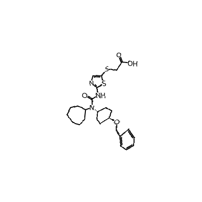 O=C(O)CSc1cnc(NC(=O)N(C2CCCCCC2)[C@H]2CC[C@H](OCc3ccccc3)CC2)s1